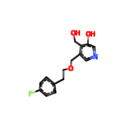 OCc1c(O)cncc1COCCc1ccc(F)cc1